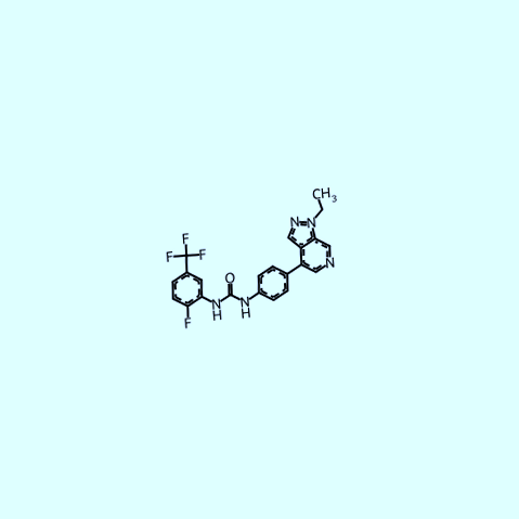 CCn1ncc2c(-c3ccc(NC(=O)Nc4cc(C(F)(F)F)ccc4F)cc3)cncc21